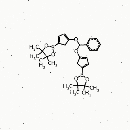 CC1(C)OB(C2=CC=C(OC(OC3=CC=C(B4OC(C)(C)C(C)(C)O4)C3)c3ccccc3)C2)OC1(C)C